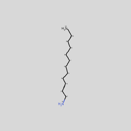 NCCCCCCCCCCC[SiH3]